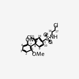 COc1cccc(OC)c1-c1ccc(S(=O)(=O)NCCCl)cc1Cl